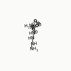 NCCCNCCCCNCCCNC(=O)c1cc2c(nc(N)c(=O)n2-c2ccc3c(c2)N(c2ccccc2)CCO3)s1